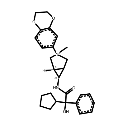 C[N+]1(c2ccc3c(c2)OCCO3)CC2[C@@H](C1)[C@@H]2NC(=O)C(O)(c1ccccc1)C1CCCC1